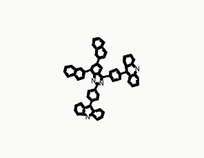 c1ccc2cc(-c3cc(-c4ccc5ccccc5c4)c4nc(-c5ccc(-c6c7ccccc7nc7ccccc67)cc5)nc(-c5ccc(-c6c7ccccc7nc7ccccc67)cc5)c4c3)ccc2c1